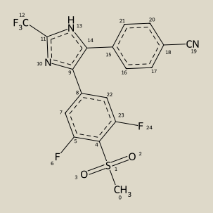 CS(=O)(=O)c1c(F)cc(-c2nc(C(F)(F)F)[nH]c2-c2ccc(C#N)cc2)cc1F